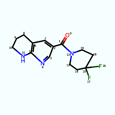 O=C(c1cnc2c(c1)CCCN2)N1CCC(F)(F)CC1